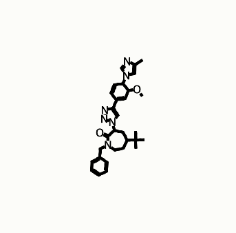 COC1C=C(c2cn(C3CC(C(C)(C)C)CCN(Cc4ccccc4)C3=O)nn2)C=CC1n1cnc(C)c1